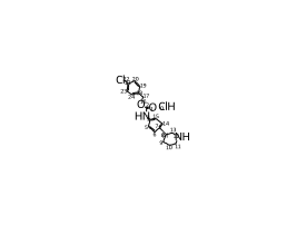 Cl.O=C(Nc1ccc([C@@H]2CCCNC2)cc1)OCc1ccc(Cl)cc1